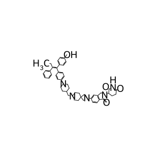 CCC(=C(c1ccc(O)cc1)c1ccc(N2CCC(CN3CCC4(CC3)CN(c3ccc5c(c3)CN(C3CCC(=O)NC3=O)C5=O)C4)CC2)cc1)c1ccccc1